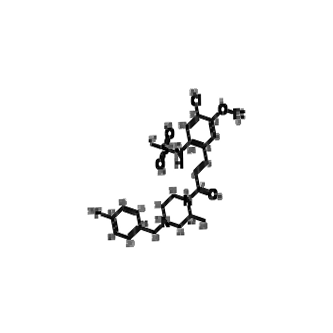 CCOc1cc(C=CC(=O)N2CCN(Cc3ccc(F)cc3)CC2C)c(NS(C)(=O)=O)cc1Cl